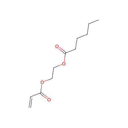 C=CC(=O)OCCOC(=O)CCCCC